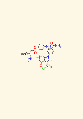 CC(=O)OC(CC(=O)O[C@H]1CC[C@H](Nc2cc(-n3c(C)c(C(F)(F)F)c4c3CC(C)(C)CC4=O)ccc2C(N)=O)CC1)C[N+](C)(C)C.[Cl-]